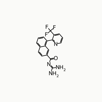 NC(N)=NC(=O)c1ccc2cccc(-c3ncccc3C(F)(F)F)c2c1